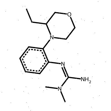 CCC1COCCN1c1ccccc1N=C(N)N(C)C